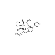 CCCC(S)C(=S)NC1(C(=O)NC(Cc2ccc(-c3ccsc3)nc2)C(=O)O)CCCC1